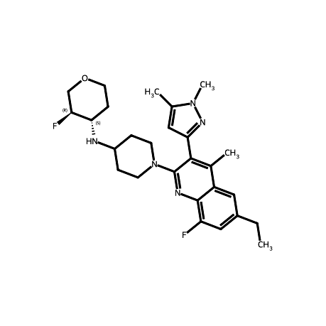 CCc1cc(F)c2nc(N3CCC(N[C@H]4CCOC[C@@H]4F)CC3)c(-c3cc(C)n(C)n3)c(C)c2c1